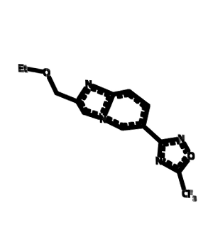 CCOCc1cn2cc(-c3noc(C(F)(F)F)n3)ccc2n1